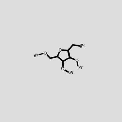 CC(C)CC1OC(COC(C)C)C(OC(C)C)C1OC(C)C